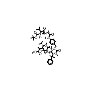 C/C(=C\[C@H](C(C)C)N(C)C(=O)[C@@H](NC(=O)[C@@H](N(C)C(=O)OCc1ccc(NC(=O)[C@H](C)NC(=O)[C@@H](NC(=O)OC(C)(C)C)C(C)C)cc1)C(C)(C)c1ccccc1)C(C)(C)C)C(=O)O